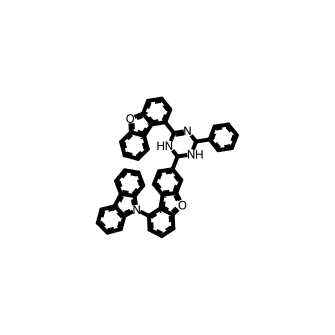 c1ccc(C2N=C(c3cccc4oc5ccccc5c34)NC(c3ccc4c(c3)oc3cccc(-n5c6ccccc6c6ccccc65)c34)N2)cc1